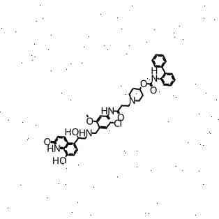 C=C(/C=C(OC)\C(=C/CCl)CNC[C@H](O)c1ccc(O)c2[nH]c(=O)ccc12)NC(=O)CCN1CCC(OC(=O)Nc2ccccc2-c2ccccc2)CC1